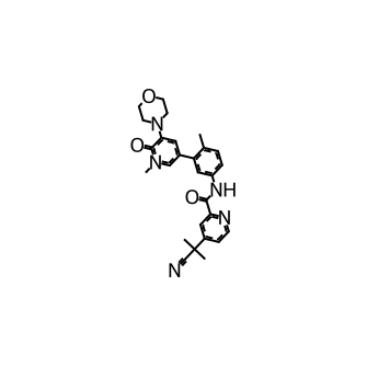 Cc1ccc(NC(=O)c2cc(C(C)(C)C#N)ccn2)cc1-c1cc(N2CCOCC2)c(=O)n(C)c1